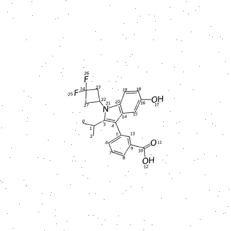 CC(C)c1c(-c2cccc(C(=O)O)c2)c2cc(O)ccc2n1C1CC(F)(F)C1